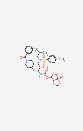 Cc1ccc(S(=O)(=O)N(CC(C)C)C[C@@H](O)[C@H](CC2CCN(C(=O)c3ccccc3)CC2)NC(=O)OC2CO[C@H]3OCCC23)cc1